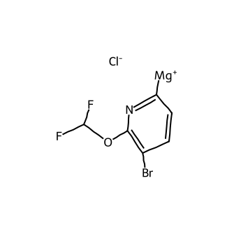 FC(F)Oc1n[c]([Mg+])ccc1Br.[Cl-]